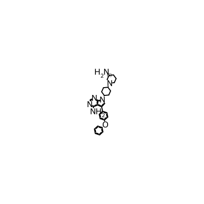 Nc1ncnc2c1c(-c1ccc(Oc3ccccc3)cc1)cn2[C@H]1CC[C@H](N2CCC[C@H](N)C2)CC1